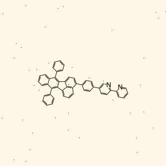 c1ccc(-c2c3c(c(-c4ccccc4)c4ccccc24)-c2ccc(-c4ccc(-c5ccc(-c6ccccn6)nc5)cc4)c4cccc-3c24)cc1